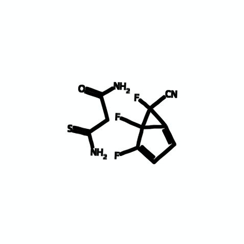 N#CC1(F)C2=CC=C(F)C21F.NC(=O)CC(N)=S